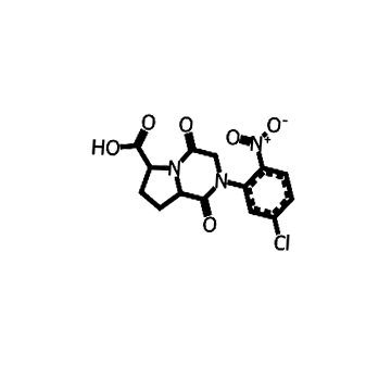 O=C(O)C1CCC2C(=O)N(c3cc(Cl)ccc3[N+](=O)[O-])CC(=O)N12